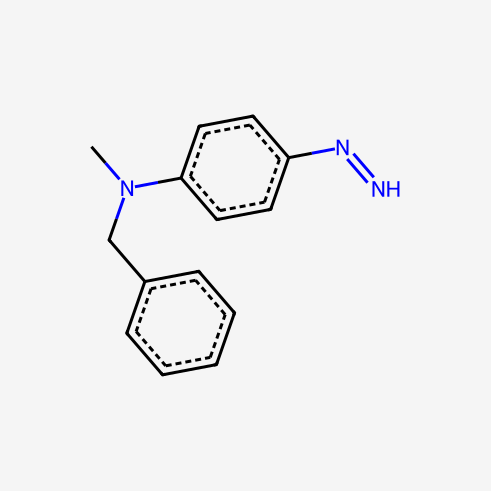 CN(Cc1ccccc1)c1ccc(N=N)cc1